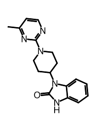 Cc1ccnc(N2CCC(n3c(=O)[nH]c4ccccc43)CC2)n1